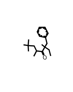 CCC(C)(Cc1ccccc1)C(=O)C(C)CC(C)(C)C